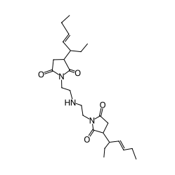 CCC=CC(CC)C1CC(=O)N(CCNCCN2C(=O)CC(C(/C=C/CC)CC)C2=O)C1=O